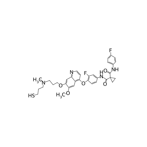 COc1cc2c(Oc3ccc(NC(=O)C4(C(=O)Nc5ccc(F)cc5)CC4)cc3F)ccnc2cc1OCCCN(C)CCCS